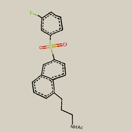 CC(=O)NCCCc1cccc2cc(S(=O)(=O)c3cccc(F)c3)ccc12